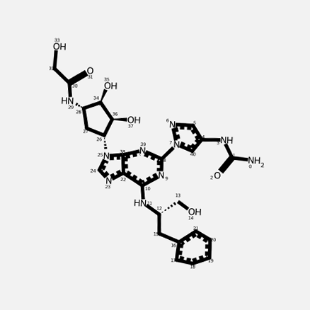 NC(=O)Nc1cnn(-c2nc(N[C@H](CO)Cc3ccccc3)c3ncn([C@@H]4C[C@H](NC(=O)CO)[C@@H](O)[C@H]4O)c3n2)c1